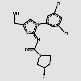 O=C(/N=c1\sc(CO)cn1-c1cc(Cl)cc(Cl)c1)N1CC[C@@H](F)C1